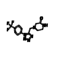 O=C1CN(Cc2nnnn2-c2ccc(C(F)(F)F)cc2)CCN1